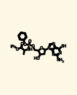 CC(C)OC(=O)C(C)NP(=O)(OCC1OC(n2cnc3c(S)nc(N)nc32)CC1O)Oc1ccccc1